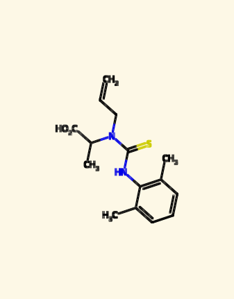 C=CCN(C(=S)Nc1c(C)cccc1C)C(C)C(=O)O